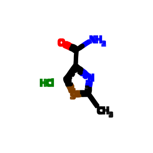 Cc1nc(C(N)=O)cs1.Cl